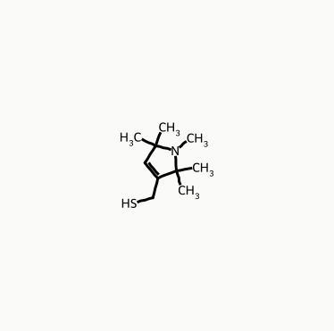 CN1C(C)(C)C=C(CS)C1(C)C